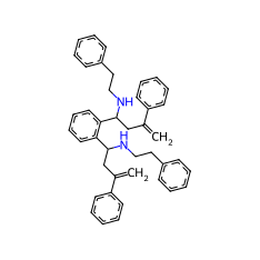 C=C(CC(NCCc1ccccc1)c1ccccc1C(CC(=C)c1ccccc1)NCCc1ccccc1)c1ccccc1